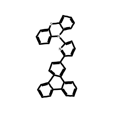 c1cc(-c2ccc3c4ccccc4c4ccccc4c3c2)nc(N2c3ccccc3Sc3ccccc32)c1